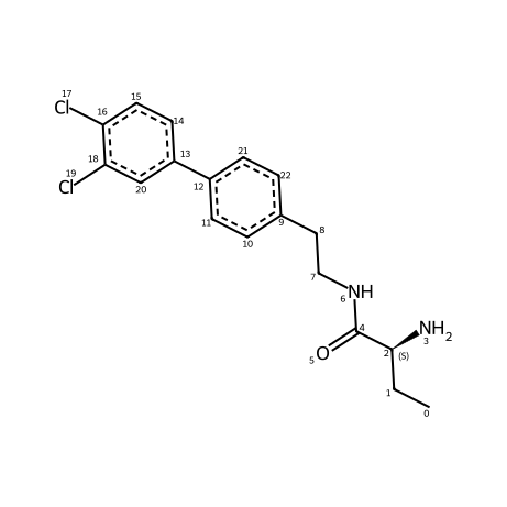 CC[C@H](N)C(=O)NCCc1ccc(-c2ccc(Cl)c(Cl)c2)cc1